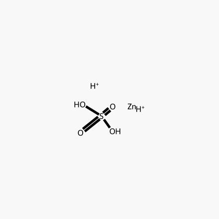 O=S(=O)(O)O.[H+].[H+].[Zn]